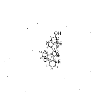 O=C(O)Cn1ncc(-c2onc(-c3c(F)cccc3Cl)c2-c2nccs2)c1C(F)(F)F